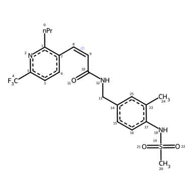 CCCc1nc(C(F)(F)F)ccc1/C=C\C(=O)NCc1ccc(NS(C)(=O)=O)c(C)c1